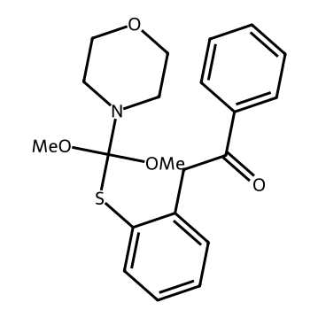 COC(OC)(Sc1ccccc1CC(=O)c1ccccc1)N1CCOCC1